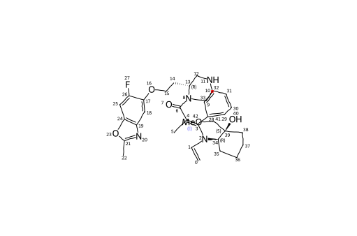 C=CN(/C(=C(\C)C(=O)N1CCNC[C@H]1CCOc1cc2nc(C)oc2cc1F)c1ccccc1)[C@@H]1CCCC[C@@]1(O)COC